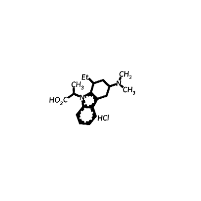 CCC1CC(N(C)C)Cc2c1n(C(C)C(=O)O)c1ccccc21.Cl